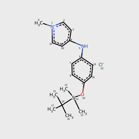 C[n+]1ccc(Nc2ccc(O[Si](C)(C)C(C)(C)C)cc2)cc1.[Cl-]